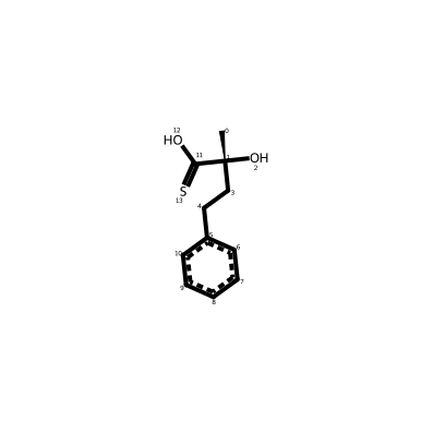 C[C@@](O)(CCc1ccccc1)C(O)=S